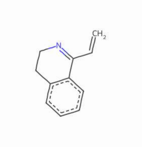 C=CC1=NCCc2ccccc21